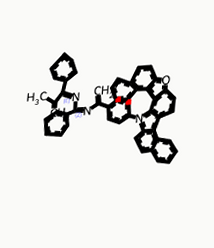 C=C(C)/C(=N\C(=N/C(=C)c1ccc(-n2c3ccc4ccccc4c3c3ccc4oc5ccc6ccccc6c5c4c32)cc1)c1ccccc1)c1ccccc1